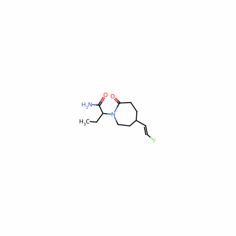 CCC(C(N)=O)N1CCC(C=CF)CCC1=O